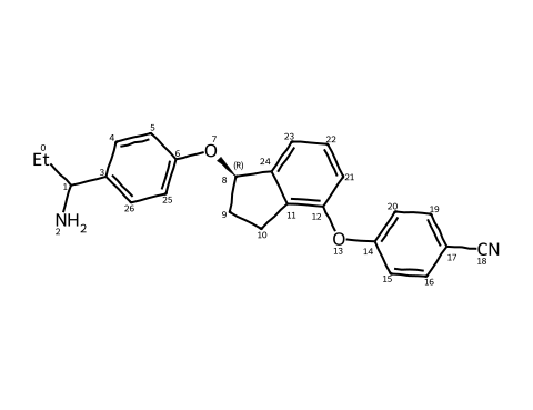 CCC(N)c1ccc(O[C@@H]2CCc3c(Oc4ccc(C#N)cc4)cccc32)cc1